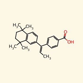 CC=C(c1ccc(C(=O)O)cc1)c1ccc2c(c1)C(C)(C)CCC2(C)C